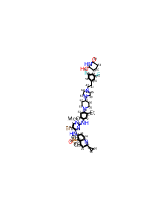 CCc1cc(Nc2ncc(Br)c(Nc3ccc4nc(C5CC5)ccc4c3P(C)(C)=O)n2)c(OC)cc1N1CCC(N2CCN(CCc3cc(F)c([C@H]4CCC(=O)NC4O)c(F)c3)CC2)CC1